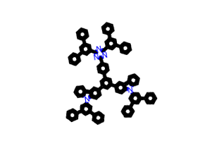 c1ccc(-c2cc(-c3ccccc3)cc(-c3nc(-c4ccc(-c5cc(-c6ccc7c(c6)c6ccccc6n7-c6cc(-c7ccccc7)cc(-c7ccccc7)c6)cc(-c6ccc7c(c6)c6ccccc6n7-c6cc(-c7ccccc7)cc(-c7ccccc7)c6)c5)cc4)nc(-c4cc(-c5ccccc5)cc(-c5ccccc5)c4)n3)c2)cc1